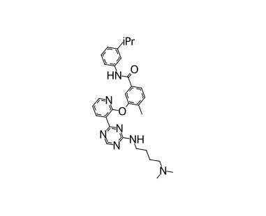 Cc1ccc(C(=O)Nc2cccc(C(C)C)c2)cc1Oc1ncccc1-c1ncnc(NCCCCN(C)C)n1